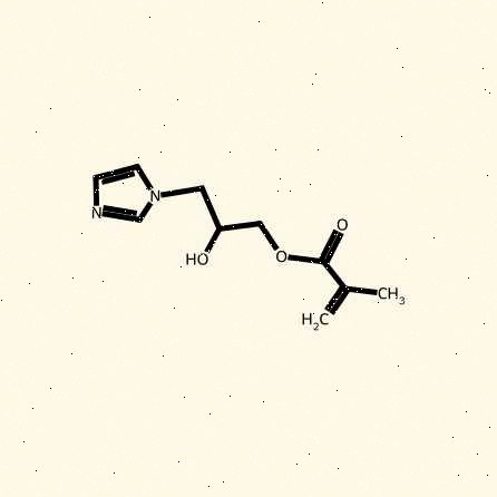 C=C(C)C(=O)OCC(O)Cn1ccnc1